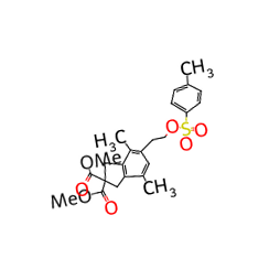 COC(=O)C1(C(=O)OC)Cc2c(C)cc(CCOS(=O)(=O)c3ccc(C)cc3)c(C)c2C1